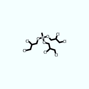 C[Si](OCC(Cl)CCl)(OCC(Cl)CCl)OCC(Cl)CCl